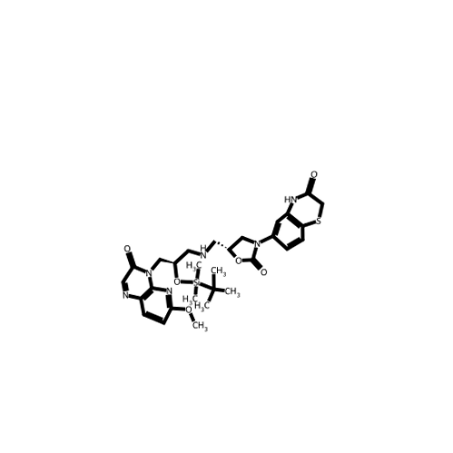 COc1ccc2ncc(=O)n(C[C@@H](CNC[C@@H]3CN(c4ccc5c(c4)NC(=O)CS5)C(=O)O3)O[Si](C)(C)C(C)(C)C)c2n1